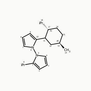 CC(C)c1cccn1-n1cccc1C1C[C@H](C)CC[C@H]1C(C)C